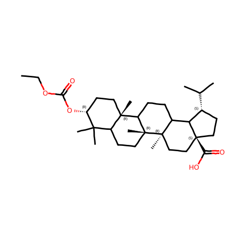 CCOC(=O)O[C@@H]1CC[C@@]2(C)C(CC[C@]3(C)C2CCC2C4[C@H](C(C)C)CC[C@]4(C(=O)O)CC[C@]23C)C1(C)C